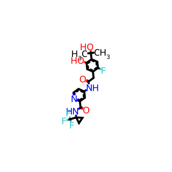 CC(C)(O)c1cc(F)c(CC(=O)Nc2ccnc(C(=O)NC3(C(F)(F)F)CC3)c2)cc1O